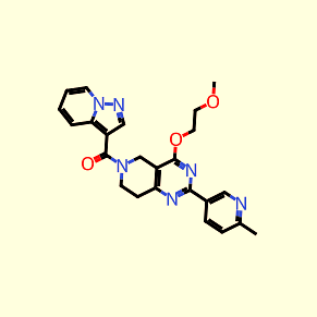 COCCOc1nc(-c2ccc(C)nc2)nc2c1CN(C(=O)c1cnn3ccccc13)CC2